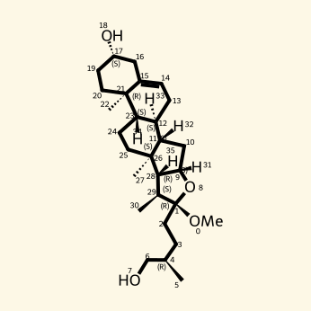 CO[C@]1(CC[C@@H](C)CO)O[C@H]2C[C@H]3[C@@H]4CC=C5C[C@@H](O)CC[C@]5(C)[C@H]4CC[C@]3(C)[C@H]2[C@@H]1C